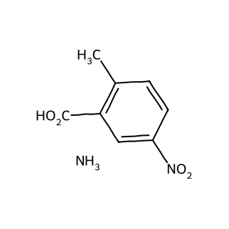 Cc1ccc([N+](=O)[O-])cc1C(=O)O.N